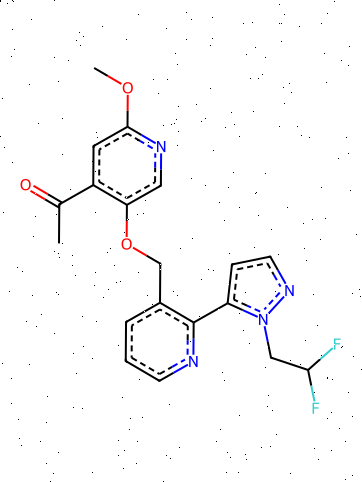 COc1cc(C(C)=O)c(OCc2cccnc2-c2ccnn2CC(F)F)cn1